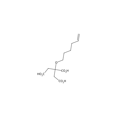 C=CCCCCOC(CC(=O)O)(CC(=O)O)C(=O)O